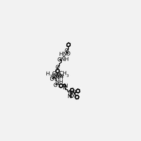 COC(=O)[C@H](CNC(=O)c1ccc2c(cnn2CCCNc2nccn2C(c2ccccc2)(c2ccccc2)c2ccccc2)c1)NS(=O)(=O)c1c(C)cc(OCCCC(=O)NCCNC(=O)OCc2ccccc2)cc1C